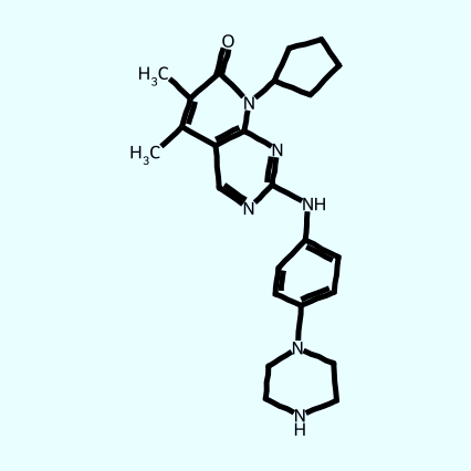 Cc1c(C)c2cnc(Nc3ccc(N4CCNCC4)cc3)nc2n(C2CCCC2)c1=O